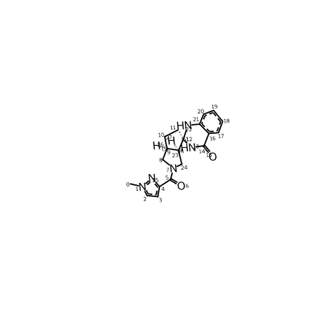 Cn1ccc(C(=O)N2C[C@H]3CC[C@]4(NC(=O)c5ccccc5N4)[C@H]3C2)n1